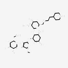 NC[C@@H]1O[C@H](O[C@H]2[C@@H](O)[C@H](O[C@@H]3[C@@H](O)[C@H](N)C[C@H](N)[C@H]3O[C@H]3O[C@H](CNCCC4CCNCC4)[C@@H](O)[C@H](O)[C@H]3N)O[C@@H]2CO)[C@H](N)[C@@H](O)[C@@H]1O